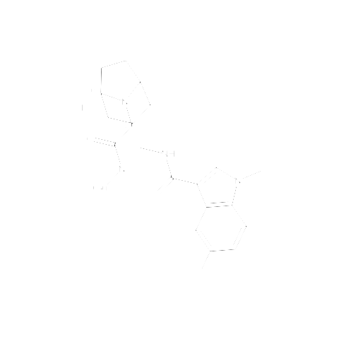 Cn1cc(C(=O)NC[C@@H]2C[C@H]3CC[C@@H](C2)N3CC(=O)NC(C)(C)C)c2cc(F)ccc21